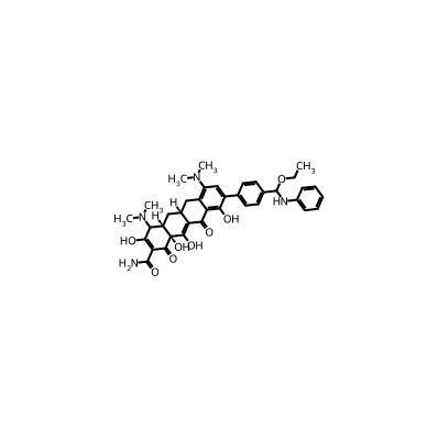 CCOC(Nc1ccccc1)c1ccc(-c2cc(N(C)C)c3c(c2O)C(=O)C2=C(O)[C@]4(O)C(=O)C(C(N)=O)=C(O)C(N(C)C)[C@@H]4C[C@@H]2C3)cc1